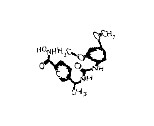 COc1ccc(NC(=O)NC(C)c2ccc(C(=O)NO)cc2)c(OC)c1